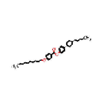 C=CCCCCCCCCOc1ccc(C(=O)Oc2ccc([C@H]3CC[C@H](CCCCC)CC3)cc2)cc1